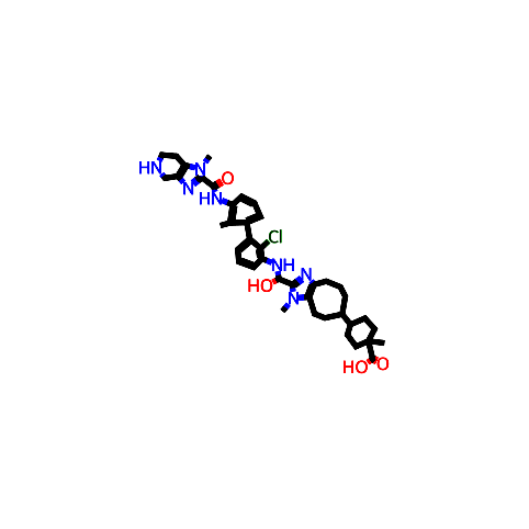 Cc1c(NC(=O)c2nc3c(n2C)CCNC3)cccc1-c1cccc(NC(O)c2nc3c(n2C)CCC(C2CCC(C)(C(=O)O)CC2)CCC3)c1Cl